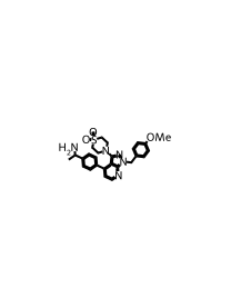 COc1ccc(Cn2nc(N3CCS(=O)(=O)CC3)c3c(-c4ccc(C(C)N)cc4)ccnc32)cc1